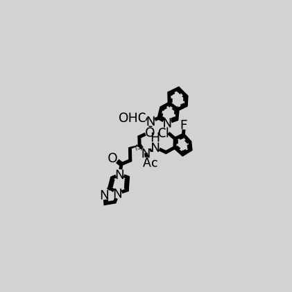 CC(=O)N(NCc1cccc(F)c1Cl)[C@@H](CCC(=O)N1C=CN2CC=NC2=C1)CON(C=O)c1cc2ccccc2cn1